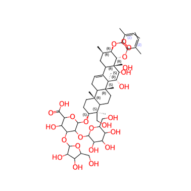 C/C=C(/C)C(=O)O[C@@H]1[C@H](C)CC2C3=CCC4[C@@]5(C)CC[C@H](OC6OC(C(=O)O)C(O)C(OC7OC(CO)C(O)C7O)C6OC6OC(CO)C(O)C(O)C6O)[C@](C)(CO)C5CC[C@@]4(C)[C@]3(C)[C@@H](O)[C@@H](O)[C@@]2(CO)[C@H]1OC(=O)/C(C)=C\C